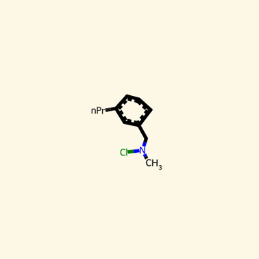 CCCc1cccc(CN(C)Cl)c1